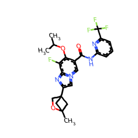 CC(C)Oc1c(C(=O)Nc2cccc(C(F)(F)F)n2)cn2cc(C34COC(C)(C3)C4)nc2c1F